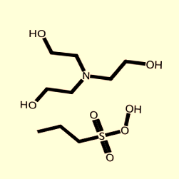 CCCS(=O)(=O)OO.OCCN(CCO)CCO